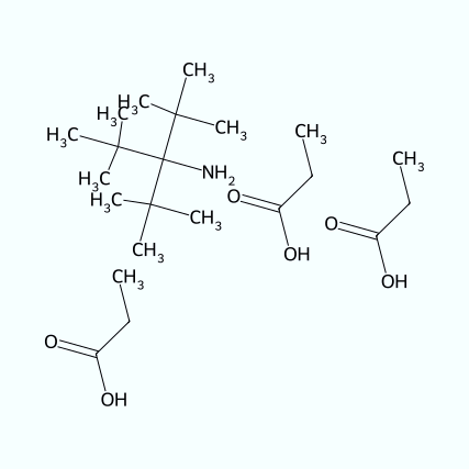 CC(C)(C)C(N)(C(C)(C)C)C(C)(C)C.CCC(=O)O.CCC(=O)O.CCC(=O)O